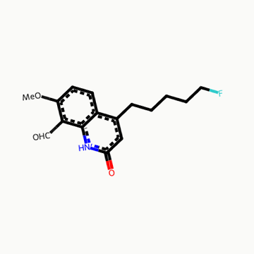 COc1ccc2c(CCCCCF)cc(=O)[nH]c2c1C=O